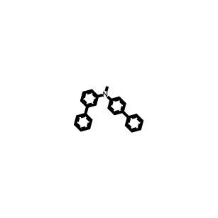 CN(c1ccc(-c2ccccc2)cc1)c1cccc(-c2ccccc2)c1